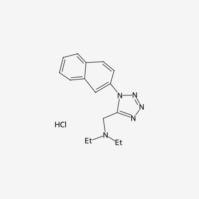 CCN(CC)Cc1nnnn1-c1ccc2ccccc2c1.Cl